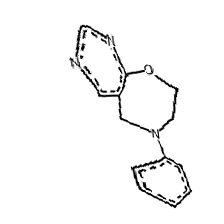 c1ccc(N2CCOc3ncncc3C2)cc1